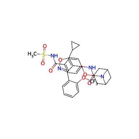 CS(=O)(=O)NC(=O)c1ccc(NC(=O)N2C3CC(OCc4c(-c5ccccc5OC(F)(F)F)noc4C4CC4)CC2C3)cc1